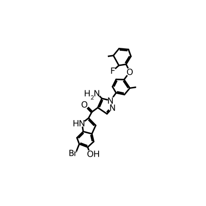 Cc1cc(-n2ncc(C(=O)c3cc4cc(O)c(Br)cc4[nH]3)c2N)ccc1OC1=CC=CC(C)C1F